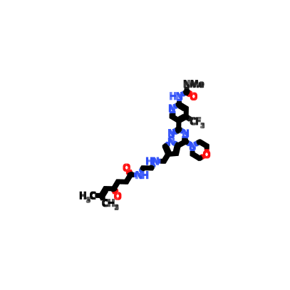 CNC(=O)Nc1cc(C(F)(F)F)c(-c2nc(N3CCOCC3)c3cc(CNCCNC(=O)CCC(=O)C=C(C)C)cn3n2)cn1